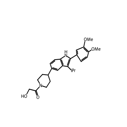 COc1ccc(-c2[nH]c3ccc(C4CCN(C(=O)CO)CC4)cc3c2C(C)C)cc1OC